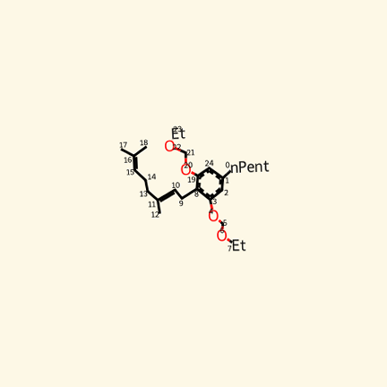 CCCCCc1cc(OCOCC)c(C/C=C(\C)CCC=C(C)C)c(OCOCC)c1